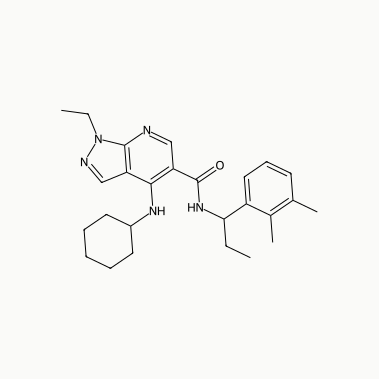 CCC(NC(=O)c1cnc2c(cnn2CC)c1NC1CCCCC1)c1cccc(C)c1C